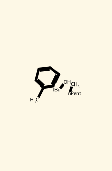 CC(C)(C)O.CCCCCC.Cc1ccccc1